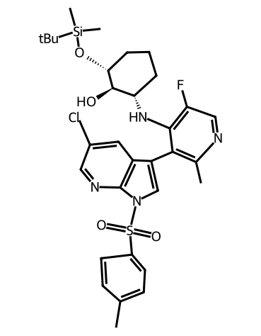 Cc1ccc(S(=O)(=O)n2cc(-c3c(C)ncc(F)c3N[C@H]3CCC[C@@H](O[Si](C)(C)C(C)(C)C)[C@@H]3O)c3cc(Cl)cnc32)cc1